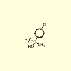 C[Si](C)(O)c1ccc(Cl)cc1